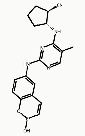 Cc1cnc(Nc2ccc3c(c2)C=CB(O)O3)nc1N[C@@H]1CCC[C@H]1C#N